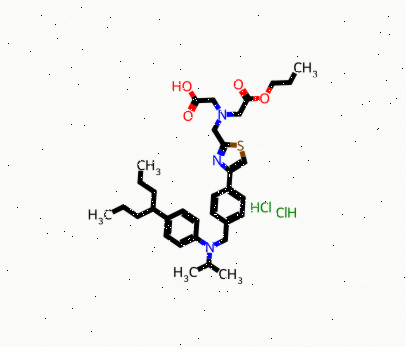 CCCOC(=O)CN(CC(=O)O)Cc1nc(-c2ccc(CN(c3ccc(C(CCC)CCC)cc3)C(C)C)cc2)cs1.Cl.Cl